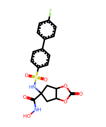 O=C1OC2CC(NS(=O)(=O)c3ccc(-c4ccc(F)cc4)cc3)(C(=O)NO)CC2O1